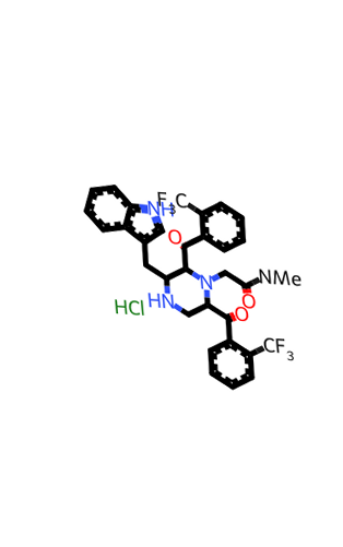 CNC(=O)CN1C(C(=O)c2ccccc2C(F)(F)F)CNC(Cc2c[nH]c3ccccc23)C1C(=O)c1ccccc1C(F)(F)F.Cl